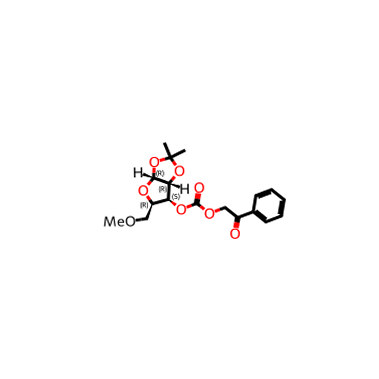 COC[C@H]1O[C@@H]2OC(C)(C)O[C@@H]2[C@H]1OC(=O)OCC(=O)c1ccccc1